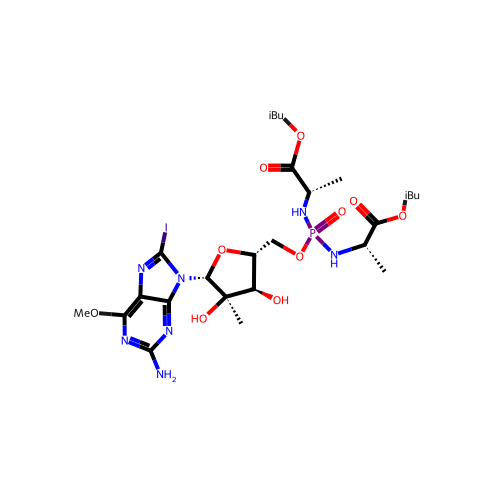 CCC(C)OC(=O)[C@H](C)NP(=O)(N[C@@H](C)C(=O)OC(C)CC)OC[C@H]1O[C@@H](n2c(I)nc3c(OC)nc(N)nc32)[C@](C)(O)[C@@H]1O